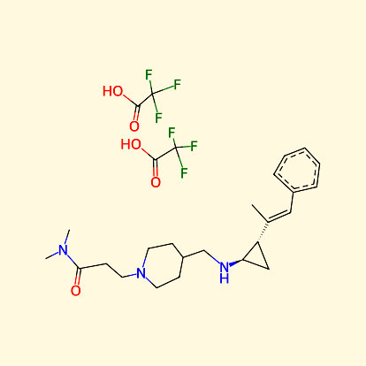 C/C(=C\c1ccccc1)[C@@H]1C[C@H]1NCC1CCN(CCC(=O)N(C)C)CC1.O=C(O)C(F)(F)F.O=C(O)C(F)(F)F